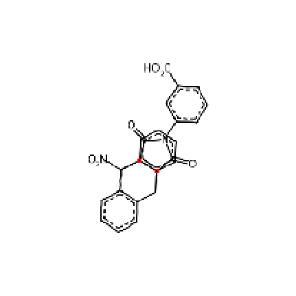 O=C(O)c1cccc(N2C(=O)C3=C(C2=O)C2([N+](=O)[O-])c4ccccc4C3c3ccccc32)c1